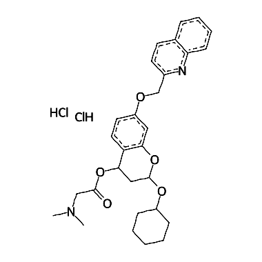 CN(C)CC(=O)OC1CC(OC2CCCCC2)Oc2cc(OCc3ccc4ccccc4n3)ccc21.Cl.Cl